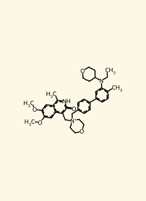 CCN(c1cc(-c2ccc(C[N+]3(Cc4c(=O)[nH]c(C)c5cc(OC)c(OC)cc45)CCOCC3)cc2)ccc1C)C1CCOCC1